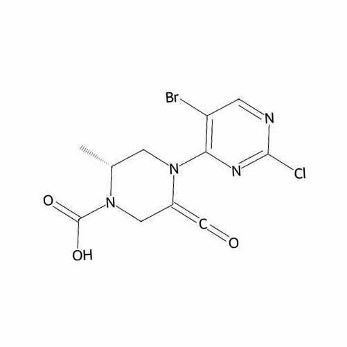 C[C@@H]1CN(c2nc(Cl)ncc2Br)C(=C=O)CN1C(=O)O